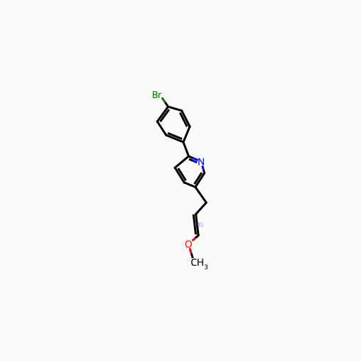 CO/C=C/Cc1ccc(-c2ccc(Br)cc2)nc1